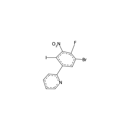 O=[N+]([O-])c1c(F)c(Br)cc(-c2ccccn2)c1I